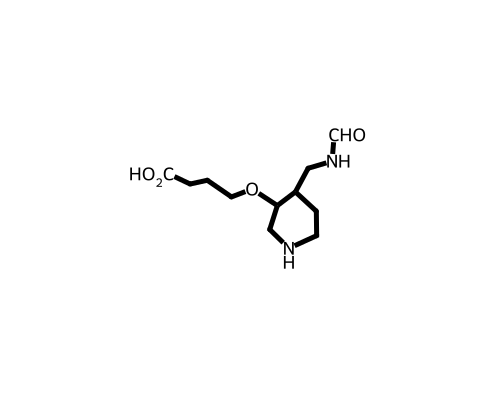 O=CNCC1CCNCC1OCCCC(=O)O